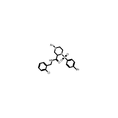 CC(=O)N1CCN(S(=O)(=O)c2ccc(C(C)C)cc2)C(C(=O)NCc2ccccc2Cl)C1